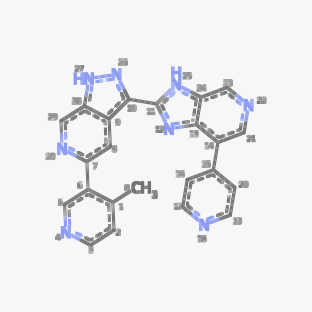 Cc1ccncc1-c1cc2c(-c3nc4c(-c5ccncc5)cncc4[nH]3)n[nH]c2cn1